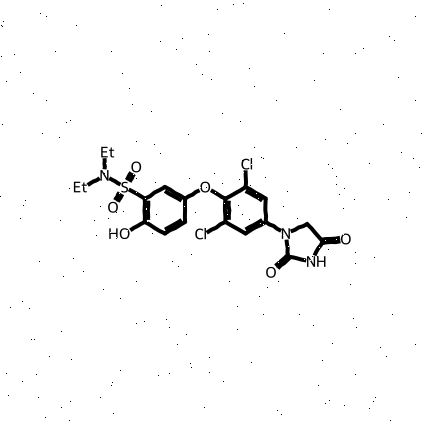 CCN(CC)S(=O)(=O)c1cc(Oc2c(Cl)cc(N3CC(=O)NC3=O)cc2Cl)ccc1O